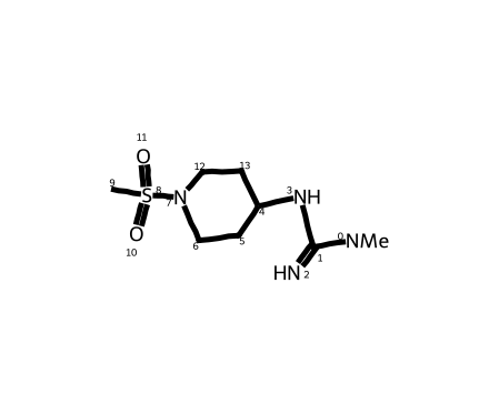 CNC(=N)NC1CCN(S(C)(=O)=O)CC1